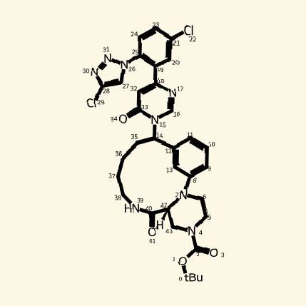 CC(C)(C)OC(=O)N1CCN2c3cccc(c3)C(n3cnc(-c4cc(Cl)ccc4-n4cc(Cl)nn4)cc3=O)CCCCNC(=O)[C@H]2C1